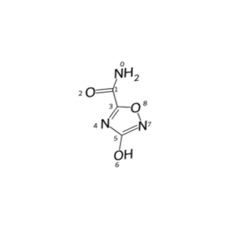 NC(=O)c1nc(O)no1